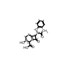 CC(=O)N(Oc1ccccc1)C1C(=O)N2C1SCN(O)C2C(=O)O